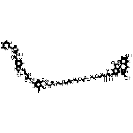 Cc1nc2cc(C(=O)Nc3nc(-c4ccccn4)cs3)ccc2n1CCCC(=O)NCc1cc(F)c(OC(=O)CCOCCOCCOCCOCCOCCOCCNC(=S)Nc2ccc3c(c2)C(=O)OC32c3ccc(O)cc3Cc3cc(O)ccc32)c(F)c1